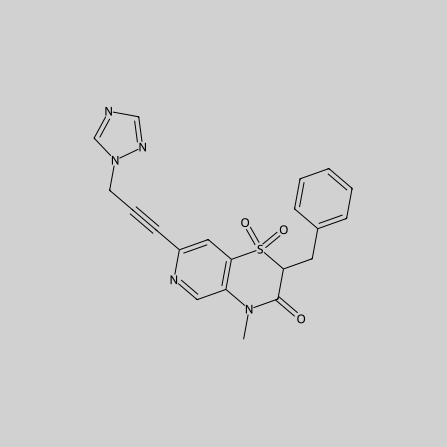 CN1C(=O)C(Cc2ccccc2)S(=O)(=O)c2cc(C#CCn3cncn3)ncc21